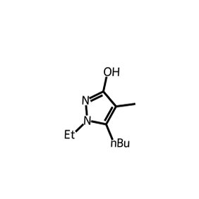 CCCCc1c(C)c(O)nn1CC